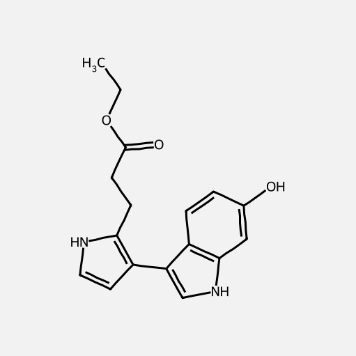 CCOC(=O)CCc1[nH]ccc1-c1c[nH]c2cc(O)ccc12